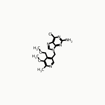 COCc1c(Cn2cnc3c(Cl)nc(N)nc32)cnc(C)c1OC